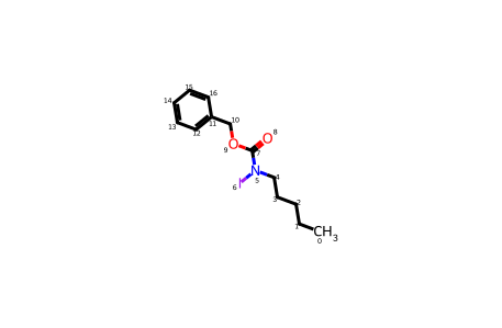 CCCCCN(I)C(=O)OCc1ccccc1